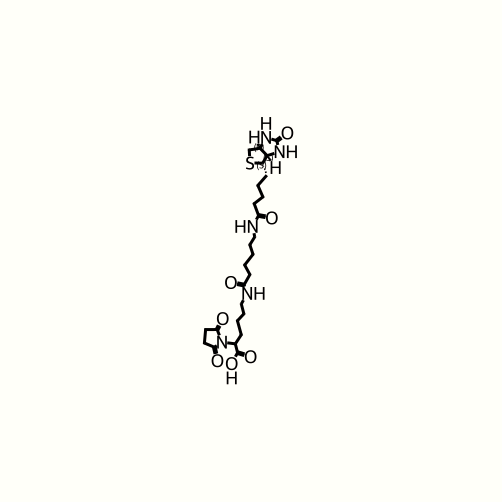 O=C(CCCCCNC(=O)CCCC[C@@H]1SC[C@@H]2NC(=O)N[C@@H]21)NCCCCC(C(=O)O)N1C(=O)CCC1=O